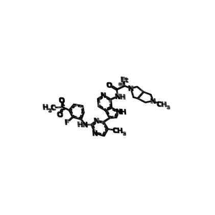 CC[C@H](C(=O)Nc1nccc2c(-c3nc(Nc4cccc(S(C)(=O)=O)c4F)ncc3C)c[nH]c12)N1CC2CN(C)CC2C1